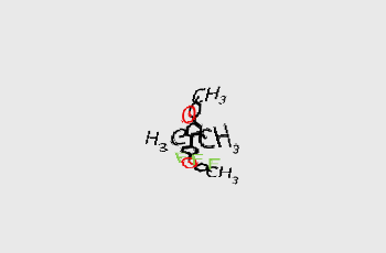 Cc1ccc(OC(F)(F)c2ccc(-c3c(C)cc(C4CCC(C)CO4)cc3C)cc2)cc1F